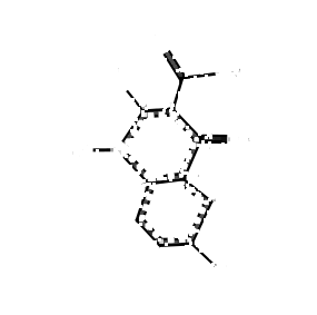 COC(=O)c1c(C)n(C)c2ccc(C(C)C)cc2c1=O